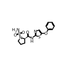 NS(=O)(=O)N1CCC[C@@H]1C(=O)Nc1ncc(Oc2ccccc2)s1